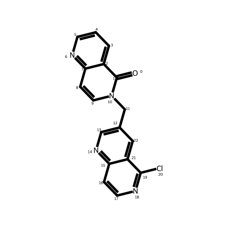 O=c1c2cccnc2ccn1Cc1cnc2ccnc(Cl)c2c1